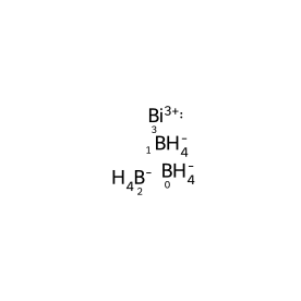 [BH4-].[BH4-].[BH4-].[Bi+3]